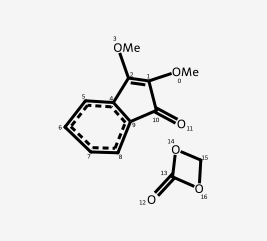 COC1=C(OC)c2ccccc2C1=O.O=C1OCO1